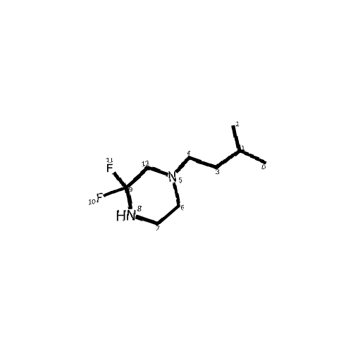 CC(C)CCN1CCNC(F)(F)C1